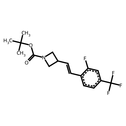 CC(C)(C)OC(=O)N1CC(/C=C/c2ccc(C(F)(F)F)cc2F)C1